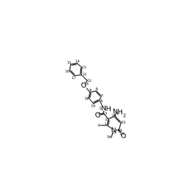 Cc1c(C(=O)Nc2ccc(OCc3ccccc3)cc2)c(N)cc(=O)n1C